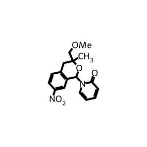 COCC1(C)Cc2ccc([N+](=O)[O-])cc2C(n2ccccc2=O)O1